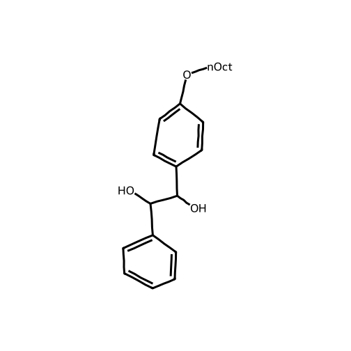 CCCCCCCCOc1ccc(C(O)C(O)c2ccccc2)cc1